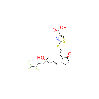 C[C@@](O)(CC=C[C@H]1CCC(=O)[C@@H]1CCSc1nc(C(=O)O)cs1)CCC(F)=C(F)F